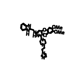 COc1cc(Cl)c(Oc2cc(NCc3nc4ccccc4[nH]3)nc(N3CCN(CCn4ccnc4)CC3)n2)cc1OC